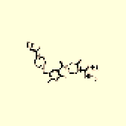 C=C(c1cc(CN2CCN(/C(C)=C/CC)CC2)c(C)cc1C)N1CCN(/C(N)=C/CC)C(=C)C1